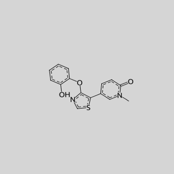 Cn1cc(-c2scnc2Oc2ccccc2O)ccc1=O